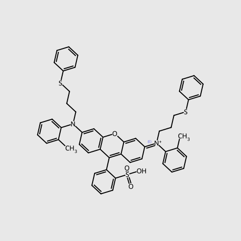 Cc1ccccc1N(CCCSc1ccccc1)c1ccc2c(-c3ccccc3S(=O)(=O)O)c3cc/c(=[N+](/CCCSc4ccccc4)c4ccccc4C)cc-3oc2c1